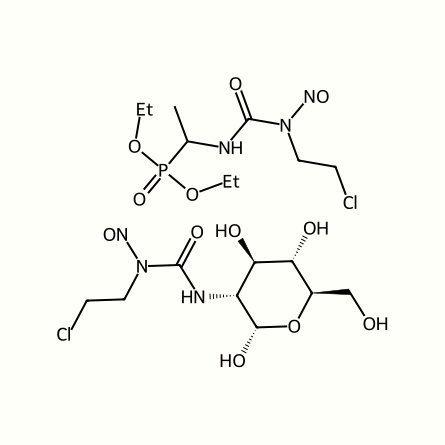 CCOP(=O)(OCC)C(C)NC(=O)N(CCCl)N=O.O=NN(CCCl)C(=O)N[C@@H]1[C@@H](O)[C@H](O)[C@@H](CO)O[C@@H]1O